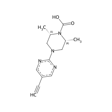 C#Cc1cnc(N2C[C@@H](C)N(C(=O)O)[C@@H](C)C2)nc1